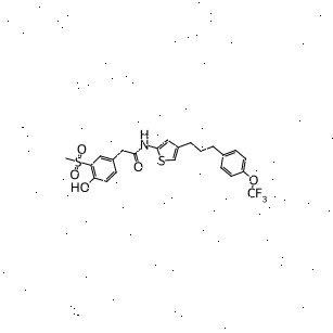 CS(=O)(=O)c1cc(CC(=O)Nc2cc(CCCc3ccc(OC(F)(F)F)cc3)cs2)ccc1O